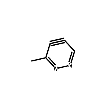 Cc1c#ccnn1